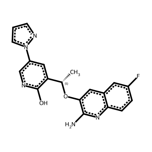 C[C@H](Oc1cc2cc(F)ccc2nc1N)c1cc(-n2cccn2)cnc1O